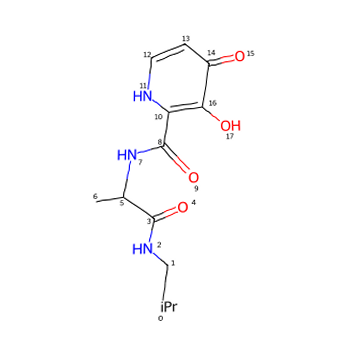 CC(C)CNC(=O)C(C)NC(=O)c1[nH]ccc(=O)c1O